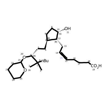 CCCCC(C)(C)[C@@H](CC[C@H]1CC[C@H](O)[C@@H]1C/C=C\CCCC(=O)O)OC1CCCCO1